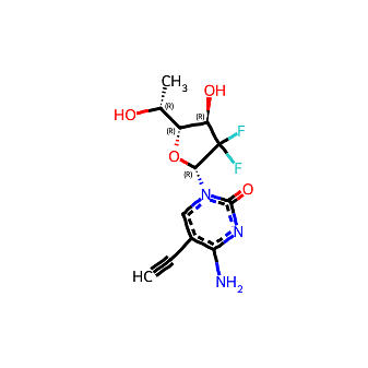 C#Cc1cn([C@@H]2O[C@H]([C@@H](C)O)[C@@H](O)C2(F)F)c(=O)nc1N